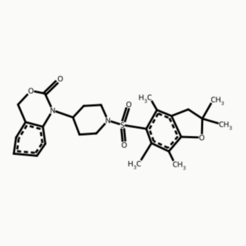 Cc1c(C)c(S(=O)(=O)N2CCC(N3C(=O)OCc4ccccc43)CC2)c(C)c2c1OC(C)(C)C2